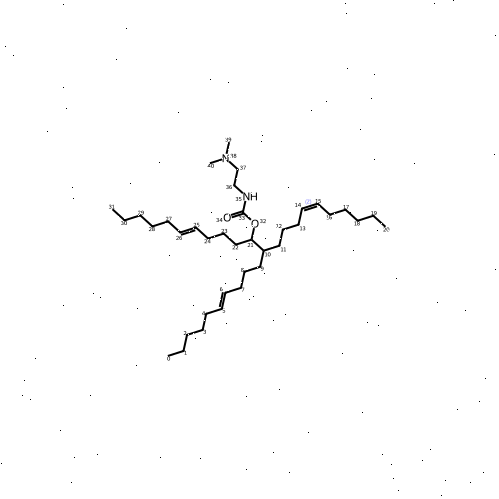 CCCCCC=CCCCC(CCC/C=C\CCCCC)C(CCCC=CCCCCC)OC(=O)NCCN(C)C